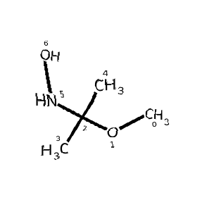 COC(C)(C)NO